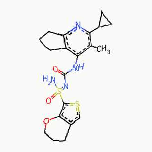 Cc1c(C2CC2)nc2c(c1NC(=O)N=S(N)(=O)c1scc3c1OCCC3)CCC2